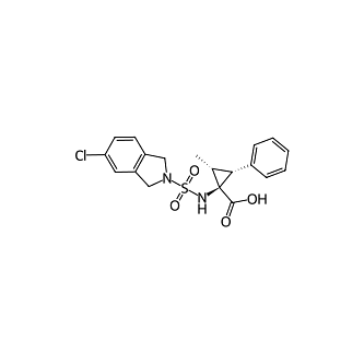 C[C@@H]1[C@H](c2ccccc2)[C@]1(NS(=O)(=O)N1Cc2ccc(Cl)cc2C1)C(=O)O